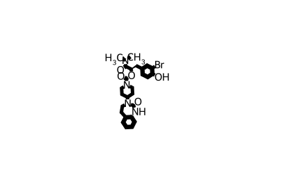 CN(C)C(=O)[C@@H](Cc1ccc(O)c(Br)c1)OC(=O)N1CCC(N2CCc3ccccc3NC2=O)CC1